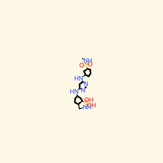 CNS(=O)(=O)c1cccc(Nc2cc(Nc3ccc4c(c3)S(O)(O)NC4)ncn2)c1